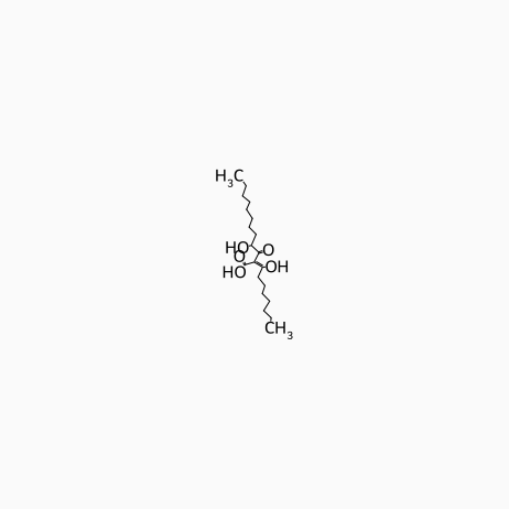 CCCCCCCCC(O)C(=O)C(C(=O)O)=C(O)CCCCCCC